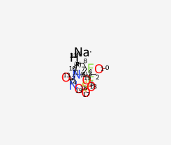 COCC(F)(F)[C@@]12CC[C@@H]3CN1C(=O)N3OS(=O)(=O)O2.[Na]